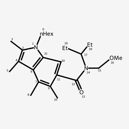 CCCCCCn1c(C)c(C)c2c(C)c(C)c(C(=O)N(COC)C(CC)CC)cc21